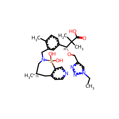 CCn1cc(CO[C@H](c2ccc(C)c(CN3C[C@@H](C)Cc4ccncc4S3(O)O)c2)C(C)(C)C(=O)O)nn1